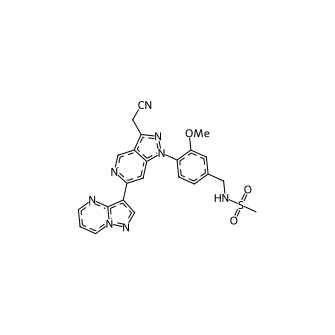 COc1cc(CNS(C)(=O)=O)ccc1-n1nc(CC#N)c2cnc(-c3cnn4cccnc34)cc21